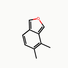 Cc1ccc2cocc2c1C